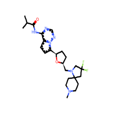 CC(C)C(=O)Nc1ncnn2c([C@H]3CC[C@@H](CN4CC(F)(F)CC45CCN(C)CC5)O3)ccc12